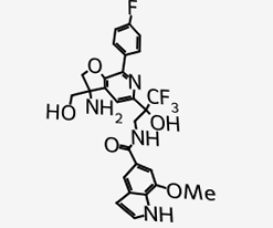 COc1cc(C(=O)NCC(O)(c2cc3c(c(-c4ccc(F)cc4)n2)OCC3(N)CO)C(F)(F)F)cc2cc[nH]c12